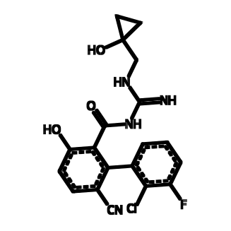 N#Cc1ccc(O)c(C(=O)NC(=N)NCC2(O)CC2)c1-c1cccc(F)c1Cl